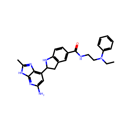 CCN(CCNC(=O)c1ccc2c(c1)CC(c1cc(N)nc3[nH]c(C)nc13)N2)c1ccccc1